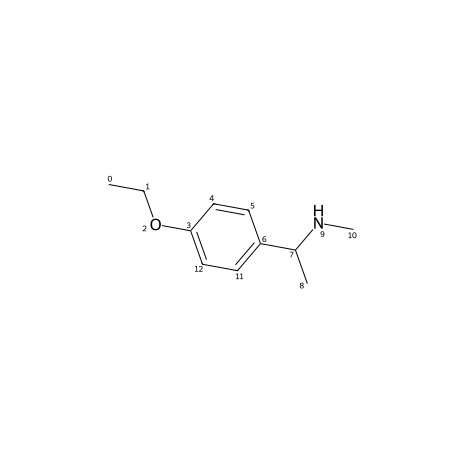 CCOc1ccc(C(C)NC)cc1